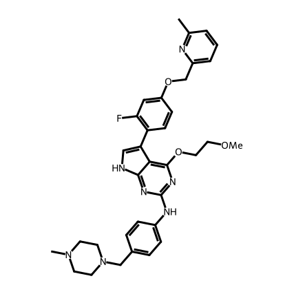 COCCOc1nc(Nc2ccc(CN3CCN(C)CC3)cc2)nc2[nH]cc(-c3ccc(OCc4cccc(C)n4)cc3F)c12